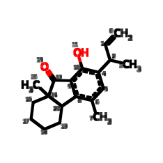 C=CC(C)c1cc(C)c2c(c1O)C(=O)C1(C)CCCCC21